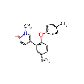 Cn1cc(-c2cc([N+](=O)[O-])ccc2Oc2ccc(C(F)(F)F)cc2)ccc1=O